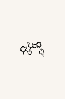 COCC(c1cn2c(N3CCN(C)CC3)cccc2n1)N1CCCC1c1ncccc1C